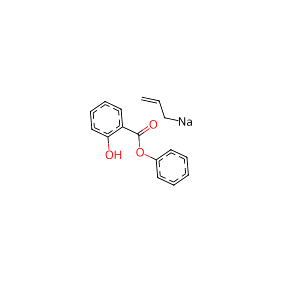 C=C[CH2][Na].O=C(Oc1ccccc1)c1ccccc1O